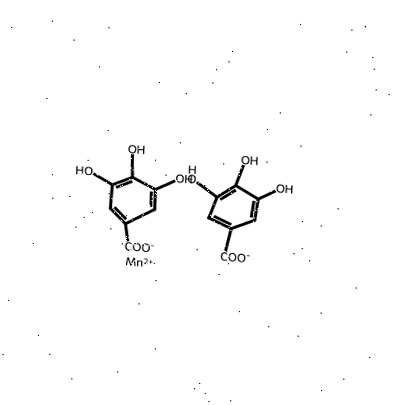 O=C([O-])c1cc(O)c(O)c(O)c1.O=C([O-])c1cc(O)c(O)c(O)c1.[Mn+2]